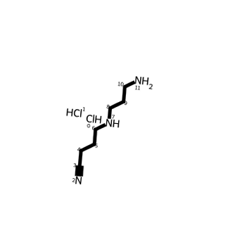 Cl.Cl.N#CCCCNCCCN